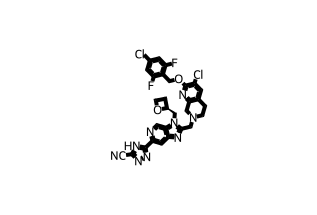 N#Cc1nnc(-c2cc3nc(CN4CCc5cc(Cl)c(OCc6c(F)cc(Cl)cc6F)nc5C4)n(C[C@@H]4CCO4)c3cn2)[nH]1